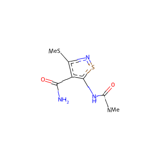 CNC(=O)Nc1snc(SC)c1C(N)=O